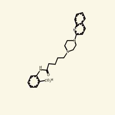 O=C(CCCCN1CCN(c2ccc3ccccc3n2)CC1)Nc1ccccc1C(=O)O